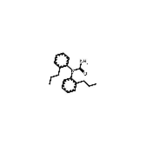 CCCc1ccccc1N(C(N)=O)c1ccccc1CCC